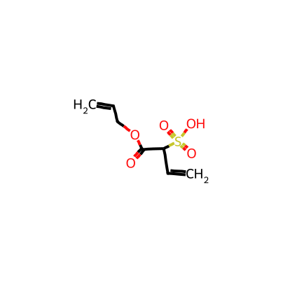 C=CCOC(=O)C(C=C)S(=O)(=O)O